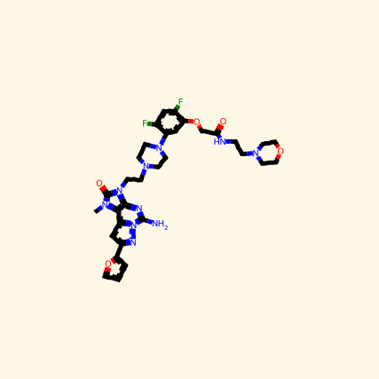 Cn1c(=O)n(CCN2CCN(c3cc(OCC(=O)NCCN4CCOCC4)c(F)cc3F)CC2)c2nc(N)n3nc(-c4ccco4)cc3c21